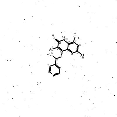 CC(=O)c1c(SC(c2ccccc2)C(C)(C)C)c2cc(Cl)cc(C(F)(F)F)c2[nH]c1=O